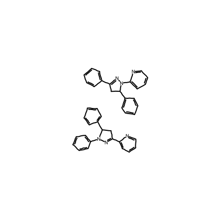 c1ccc(C2=NN(c3ccccn3)C(c3ccccc3)C2)cc1.c1ccc(C2CC(c3ccccn3)=NN2c2ccccc2)cc1